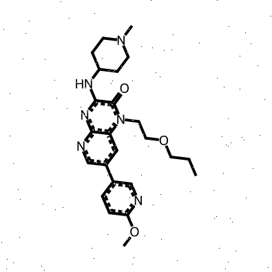 CCCOCCn1c(=O)c(NC2CCN(C)CC2)nc2ncc(-c3ccc(OC)nc3)cc21